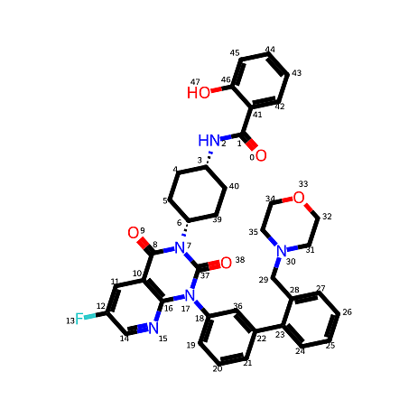 O=C(N[C@H]1CC[C@@H](n2c(=O)c3cc(F)cnc3n(-c3cccc(-c4ccccc4CN4CCOCC4)c3)c2=O)CC1)c1ccccc1O